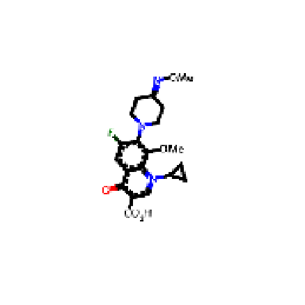 CON=C1CCN(c2c(F)cc3c(=O)c(C(=O)O)cn(C4CC4)c3c2OC)CC1